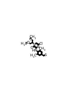 COCC(COC)n1cc(Cl)nc(Nc2c(C)cc(C=S)cc2C)c1=O